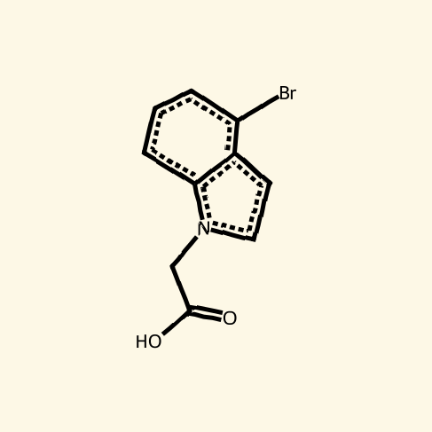 O=C(O)Cn1ccc2c(Br)cccc21